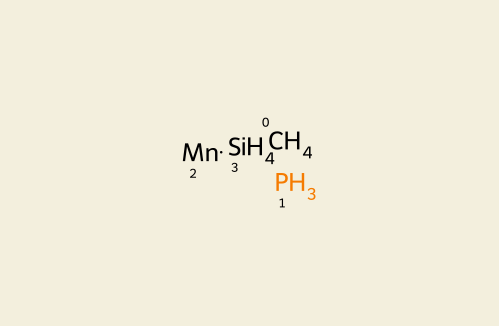 C.P.[Mn].[SiH4]